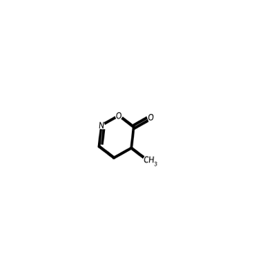 CC1CC=NOC1=O